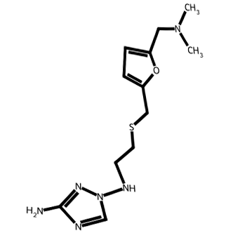 CN(C)Cc1ccc(CSCCNn2cnc(N)n2)o1